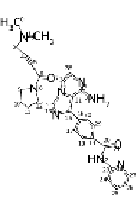 CN(C)CC#CC(=O)N1CCC[C@H]1c1nc(-c2ccc(C(=O)Nc3ccccn3)cc2)c2c(N)nccn12